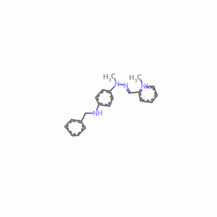 CN(/N=C/c1cccc[n+]1C)c1ccc(NCc2ccccc2)cc1